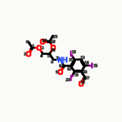 CC(=O)OCC(CNC(=O)c1c(I)cc(I)c([C]=O)c1I)OC(C)=O